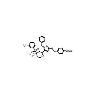 COc1ccc(CSc2cc(C3CC(C)(S(=O)(=O)c4cccc(C)c4)CCO3)n(Cc3ccccc3)n2)cc1